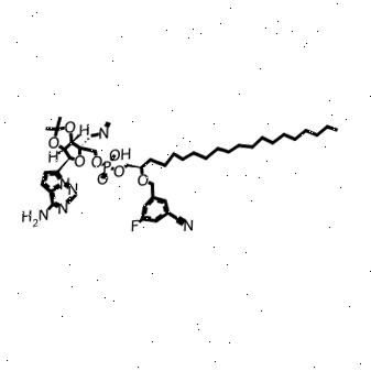 C=NC[C@]1(COP(=O)(O)OC[C@@H](CCCCCCCCCCCCCCCCCC)OCc2cc(F)cc(C#N)c2)O[C@@H](c2ccc3c(N)ncnn23)[C@@H]2OC(C)(C)O[C@@H]21